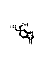 OCC1(CO)C=c2nc[nH]c2=CC1